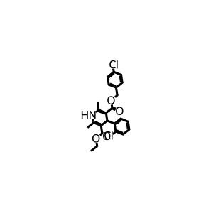 CCOC(=O)C1=C(C)NC(C)=C(C(=O)OCc2ccc(Cl)cc2)C1c1ccccc1Cl